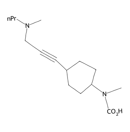 CCCN(C)CC#CC1CCC(N(C)C(=O)O)CC1